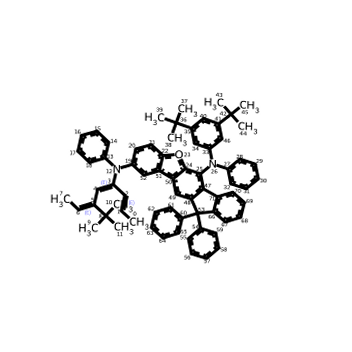 C/C=C/C(=C\C(=C/C)C(C)(C)C)N(c1ccccc1)c1ccc2oc3c(N(c4ccccc4)c4cc(C(C)(C)C)cc(C(C)(C)C)c4)c4c(cc3c2c1)C(c1ccccc1)(c1ccccc1)c1ccccc1-4